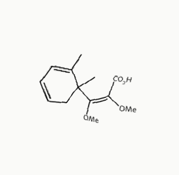 COC(C(=O)O)=C(OC)C1(C)CC=CC=C1C